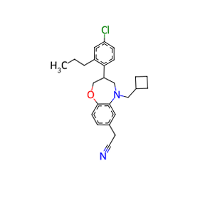 CCCc1cc(Cl)ccc1C1COc2ccc(CC#N)cc2N(CC2CCC2)C1